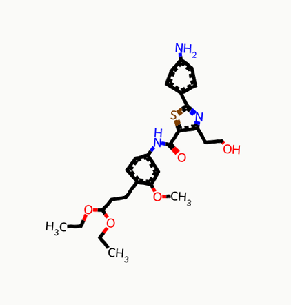 CCOC(CCc1ccc(NC(=O)c2sc(-c3ccc(N)cc3)nc2CCO)cc1OC)OCC